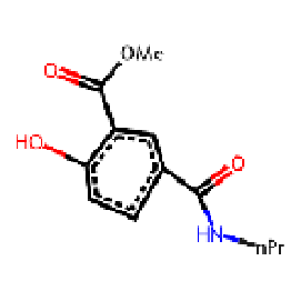 CCCNC(=O)c1ccc(O)c(C(=O)OC)c1